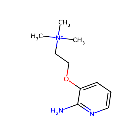 C[N+](C)(C)CCOc1cccnc1N